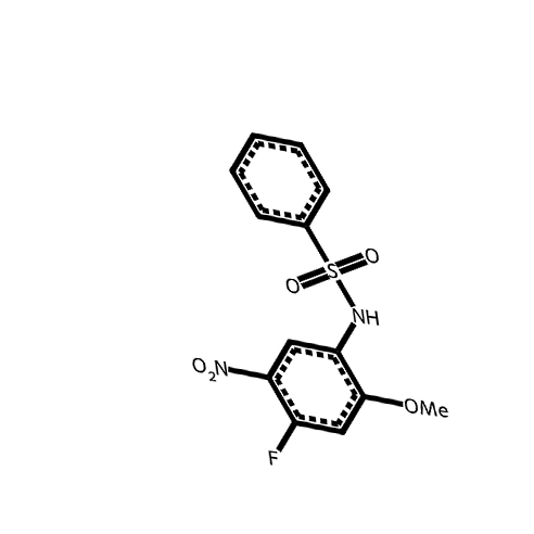 COc1cc(F)c([N+](=O)[O-])cc1NS(=O)(=O)c1ccccc1